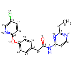 CCc1nccc(NC(=O)Cc2ccc(Oc3ccc(Cl)cn3)cc2)n1